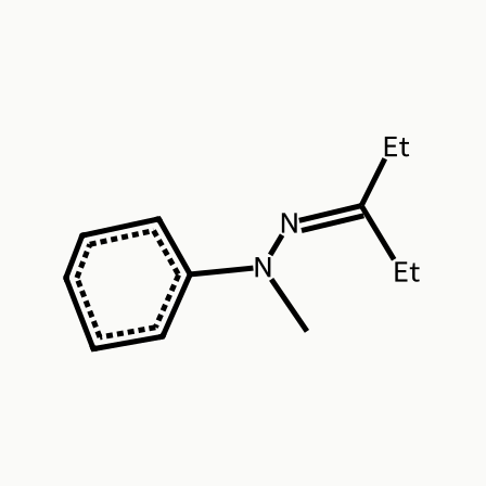 CCC(CC)=NN(C)c1ccccc1